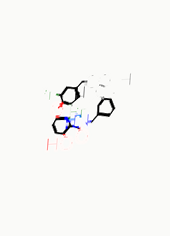 Cc1cccc(CNC(=O)c2cc(Oc3c(Br)cc(CC(=O)O)cc3Br)ccc2O)c1